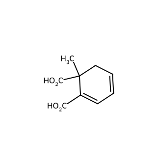 CC1(C(=O)O)CC=CC=C1C(=O)O